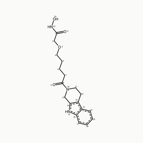 O=C(COCCCCC(=O)N1CCc2c([nH]c3ccccc23)C1)NO